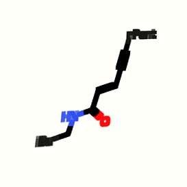 CCCCCC#C/C=C/C(=O)NCC(C)CC